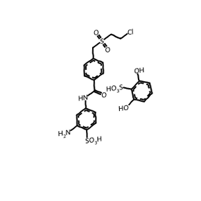 Nc1cc(NC(=O)c2ccc(CS(=O)(=O)CCCl)cc2)ccc1S(=O)(=O)O.O=S(=O)(O)c1c(O)cccc1O